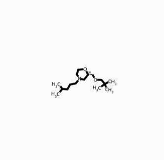 CC(C)CCCN1CCO[C@H](COCC(C)(C)C)C1